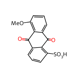 COc1cccc2c1C(=O)c1cccc(S(=O)(=O)O)c1C2=O